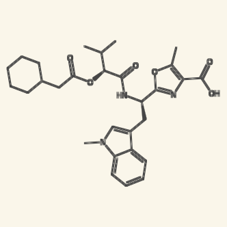 Cc1oc([C@@H](Cc2cn(C)c3ccccc23)NC(=O)[C@@H](OC(=O)CC2CCCCC2)C(C)C)nc1C(=O)O